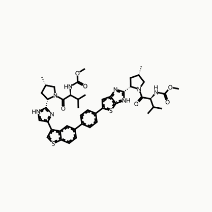 COC(=O)N[C@H](C(=O)N1C[C@@H](C)C[C@H]1c1nc(-c2csc3ccc(-c4ccc(-c5cc6nc([C@@H]7C[C@H](C)CN7C(=O)[C@@H](NC(=O)OC)C(C)C)[nH]c6s5)cc4)cc23)c[nH]1)C(C)C